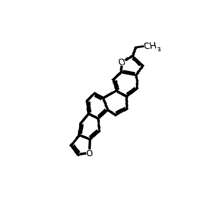 CCc1cc2cc3ccc4c5cc6occc6cc5ccc4c3cc2o1